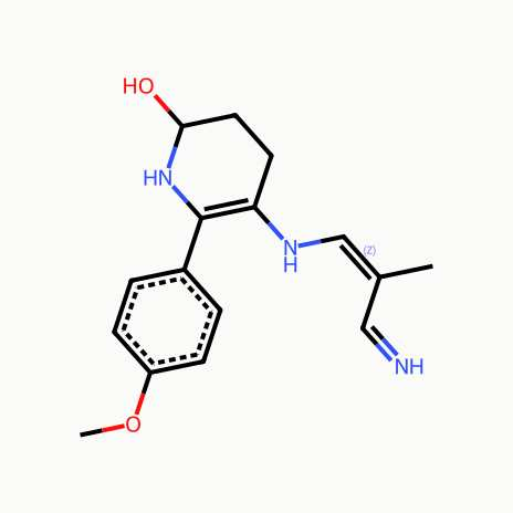 COc1ccc(C2=C(N/C=C(/C)C=N)CCC(O)N2)cc1